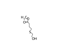 COC(=O)CCCSCCO